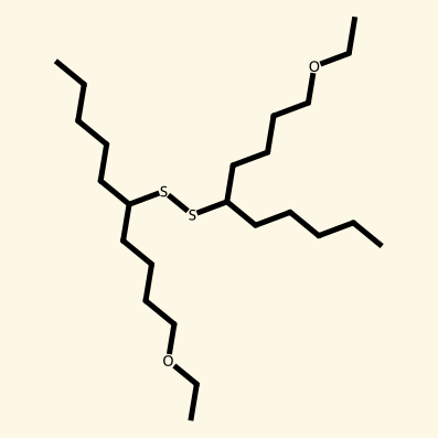 CCCCCC(CCCCOCC)SSC(CCCCC)CCCCOCC